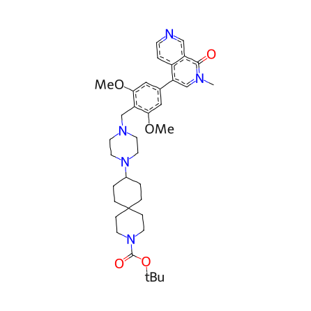 COc1cc(-c2cn(C)c(=O)c3cnccc23)cc(OC)c1CN1CCN(C2CCC3(CC2)CCN(C(=O)OC(C)(C)C)CC3)CC1